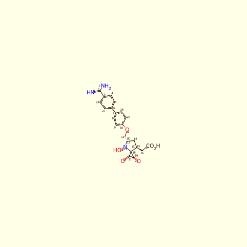 N=C(N)c1ccc(-c2ccc(OC[C@@H]3C[C@@H](CC(=O)O)C4(C(=O)C4=O)N3O)cc2)cc1